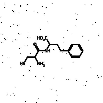 NC(CS)C(=O)NC(CCc1ccccc1)C(=O)O